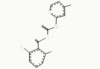 O=C(NC(=O)c1c(F)cccc1F)Nc1cc(C(F)(F)F)ccn1